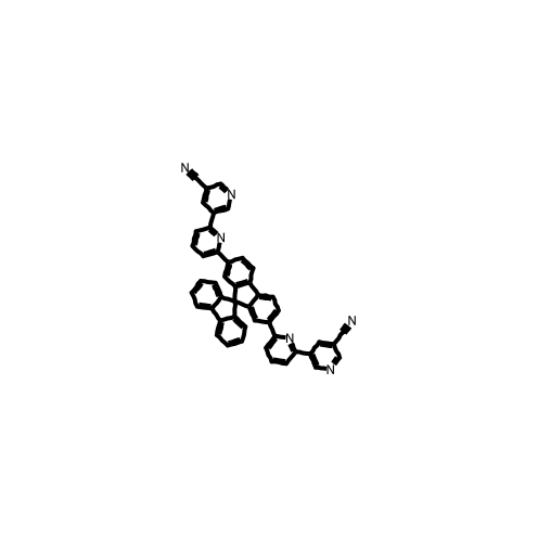 N#Cc1cncc(-c2cccc(-c3ccc4c(c3)C3(c5ccccc5-c5ccccc53)c3cc(-c5cccc(-c6cncc(C#N)c6)n5)ccc3-4)n2)c1